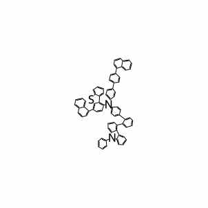 c1ccc(-n2c3ccccc3c3c(-c4ccccc4-c4ccc(N(c5ccc(-c6ccc(-c7cccc8ccccc78)cc6)cc5)c5ccc(-c6cccc7ccccc67)c6sc7ccccc7c56)cc4)cccc32)cc1